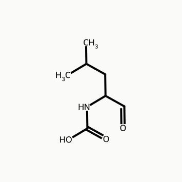 CC(C)CC(C=O)NC(=O)O